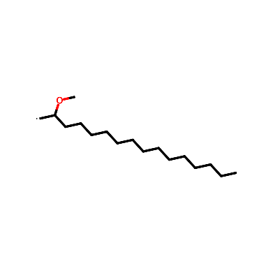 [CH2]C(CCCCCCCCCCCCCC)OC